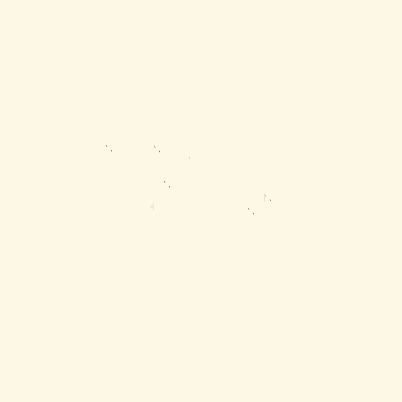 Oc1nc(Oc2ccc3c(cnn3CC3CCCC3)c2)nc2cnccc12